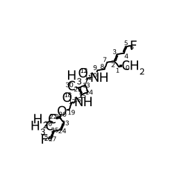 C=C/C(=C\C=C\F)CCCNC(=O)[C@H]1CC(NC(=O)COC(=C)/C=C\C(C)=C\F)=C1C